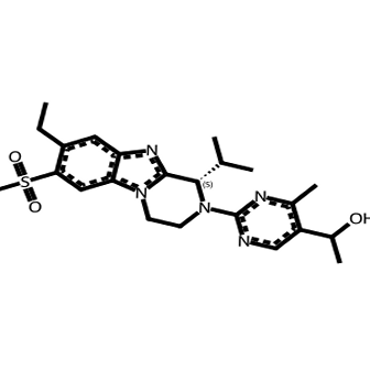 CCc1cc2nc3n(c2cc1S(C)(=O)=O)CCN(c1ncc(C(C)O)c(C)n1)[C@H]3C(C)C